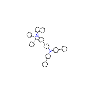 c1ccc(-c2ccc(N(c3ccc(-c4ccccc4)cc3)c3ccc(-c4ccc5c(c4)c(-c4ccccc4)c(-c4ccccc4)n5-c4cccc5ccccc45)cc3)cc2)cc1